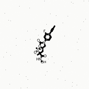 CC#Cc1ccc(N2CC(CC(C)(C(=O)NO)S(C)(=O)=O)OC2=O)cc1F